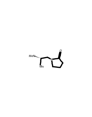 CN[C@H](CN1CCCC1=O)C(C)(C)C